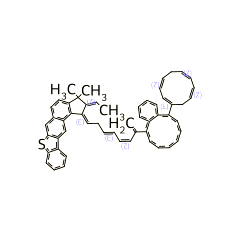 C=C(/C=C\C=C\C/C=C1\C(=C/C)C(C)(C)c2ccc3cc4sc5ccccc5c4cc3c21)c1ccccccc(/C2=C/C=C\C/C=C\C=C/C2)c2ccccc12